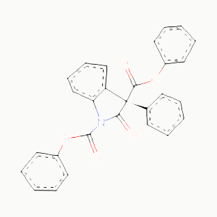 O=C(Oc1ccccc1)N1C(=O)[C@](C(=O)Oc2ccccc2)(c2ccccc2)c2ccccc21